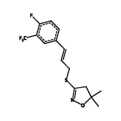 CC1(C)CC(SCC=Cc2ccc(F)c(C(F)(F)F)c2)=NO1